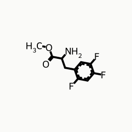 COC(=O)C(N)Cc1cc(F)c(F)cc1F